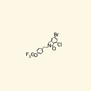 O=C1c2c(Cl)cc(Br)cc2CN1CCc1ccc(OC(F)(F)F)cc1